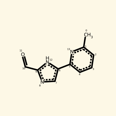 Cc1cccc(-c2cnc(C=O)[nH]2)n1